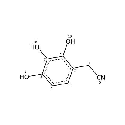 N#CCc1ccc(O)c(O)c1O